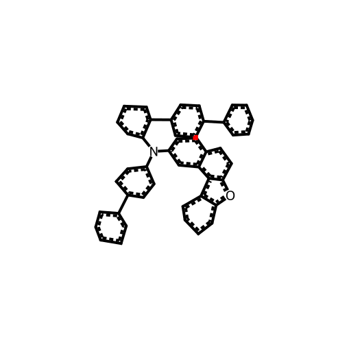 c1ccc(-c2ccc(-c3ccccc3N(c3ccc(-c4ccccc4)cc3)c3ccc4ccc5oc6ccccc6c5c4c3)cc2)cc1